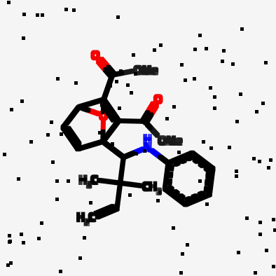 C=CC(C)(C)C(Nc1ccccc1)C12C=CC(O1)C(C(=O)OC)=C2C(=O)OC